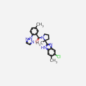 Cc1ccc(-n2nccn2)c(C(=O)N2CCCC2(C)c2nc3cc(Cl)c(C)cc3[nH]2)c1